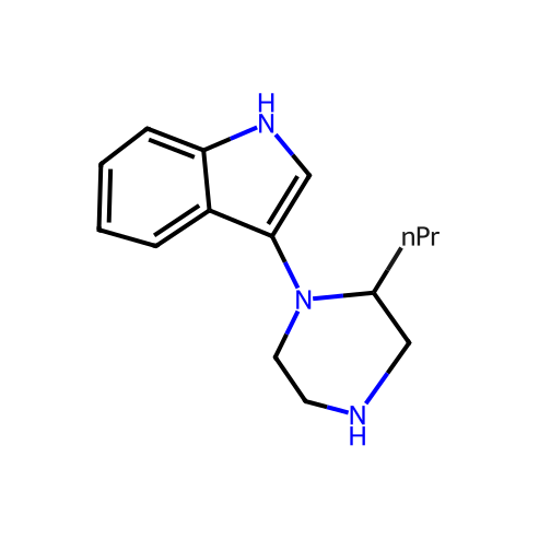 CCCC1CNCCN1c1c[nH]c2ccccc12